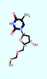 Cc1cn([C@H]2C[C@H](O)[C@@H](COCSS)O2)c(=O)[nH]c1=O